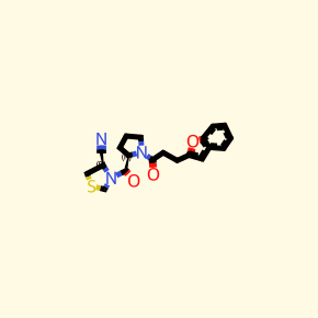 N#C[C@@H]1CSCN1C(=O)[C@H]1CCCN1C(=O)CCc1cc2ccccc2o1